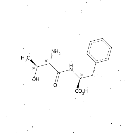 C[C@H](O)[C@H](N)C(=O)N[C@@H](Cc1ccccc1)C(=O)O